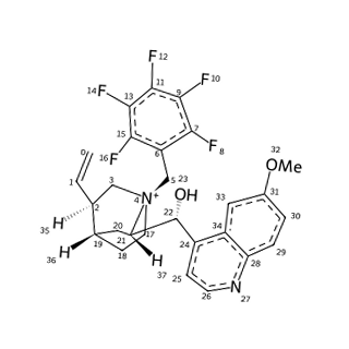 C=C[C@H]1C[N@+]2(Cc3c(F)c(F)c(F)c(F)c3F)CC[C@H]1C[C@H]2[C@H](O)c1ccnc2ccc(OC)cc12